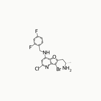 C[C@H](N)Cc1oc2c(NCc3ccc(F)cc3F)cc(Cl)nc2c1Br